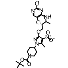 Cc1c([N+](=O)[O-])c(OCCC(C)Nc2nc(Cl)ncc2Cl)nn1C1CCN(C(=O)OC(C)(C)C)CC1